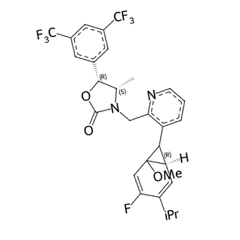 COC12C=C(F)C(C(C)C)=C[C@@H]1C2c1cccnc1CN1C(=O)O[C@H](c2cc(C(F)(F)F)cc(C(F)(F)F)c2)[C@@H]1C